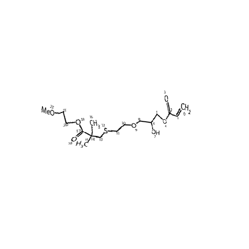 C=CC(=O)OCC(O)COCCSCC(C)(C)C(=O)OCCOC